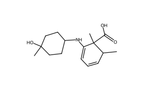 CC1C=CC=C(NC2CCC(C)(O)CC2)C1(C)C(=O)O